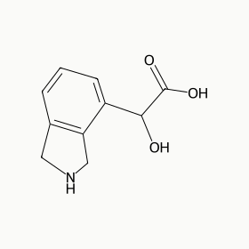 O=C(O)C(O)c1cccc2c1CNC2